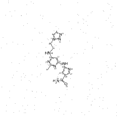 Cc1nc(NCCn2ccnn2)cc(Nc2ncc(C(N)=O)s2)n1